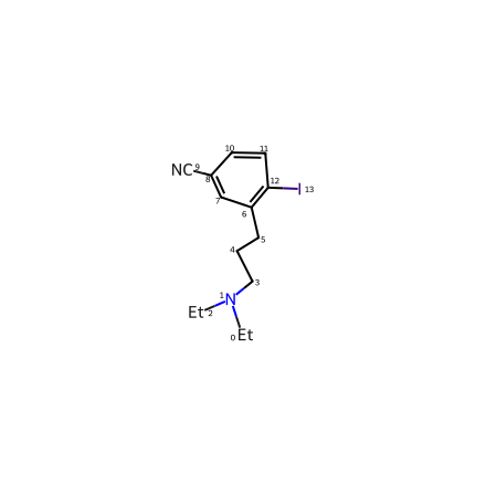 CCN(CC)CCCc1cc(C#N)ccc1I